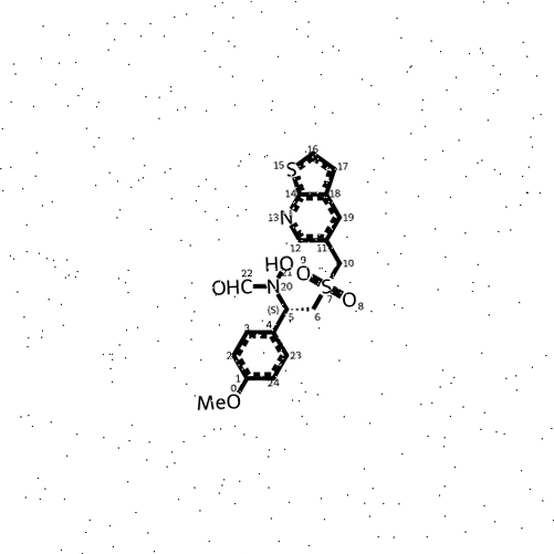 COc1ccc([C@@H](CS(=O)(=O)Cc2cnc3sccc3c2)N(O)C=O)cc1